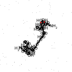 CCC1CC(C(=O)NCCN)C[C@@H](O[C@@H]2OC(CO)[C@H](O)C(O[C@@H](CC3CCCCC3)C(=O)O)C2NC(=O)CSC2CC(=O)N(CCC(=O)NCCOCCOCCOCCNC(=O)CCN3C(=O)CC(SCC(=O)NC4C(O[C@@H](CC5CCCCC5)C(=O)O)[C@@H](O)C(CO)O[C@H]4O[C@@H]4CC(C(=O)NCCN)CC(CC)C4O[C@@H]4OC(C)[C@@H](O)C(O)C4O)C3=O)C2=O)C1O[C@@H]1OC(C)[C@@H](O)C(O)C1O